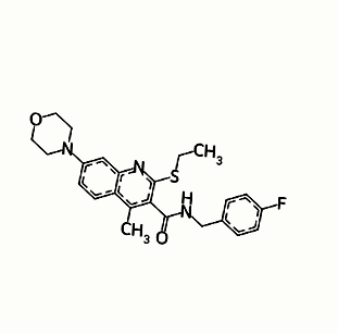 CCSc1nc2cc(N3CCOCC3)ccc2c(C)c1C(=O)NCc1ccc(F)cc1